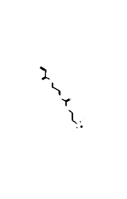 C=CC(=O)OCCNC(=O)OCCP(=O)(O)O